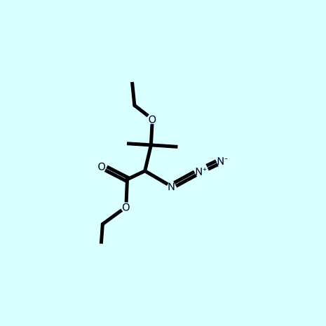 CCOC(=O)C(N=[N+]=[N-])C(C)(C)OCC